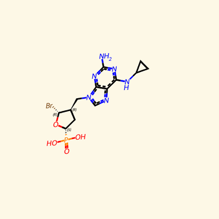 Nc1nc(NC2CC2)c2ncn(C[C@H]3C[C@H](P(=O)(O)O)O[C@@H]3Br)c2n1